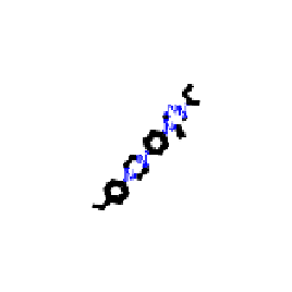 C=CN(/C=N\N(C)C(C)CC)c1ccc(N2CCN(c3ccc(CC)cc3)CC2)cc1